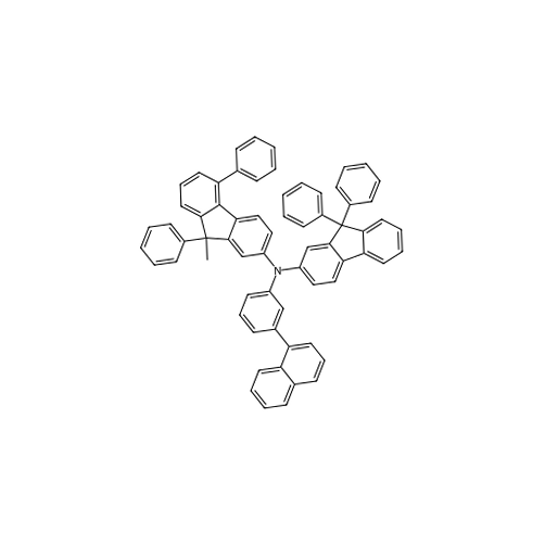 CC1(c2ccccc2)c2cc(N(c3cccc(-c4cccc5ccccc45)c3)c3ccc4c(c3)C(c3ccccc3)(c3ccccc3)c3ccccc3-4)ccc2-c2c(-c3ccccc3)cccc21